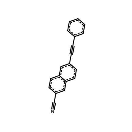 N#Cc1ccc2cc(C#Cc3ccccc3)ccc2c1